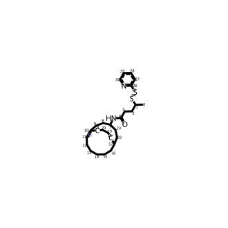 CC(CCC(=O)NC1CC/C2=C/CCCCCC(CCCC2)CC1)SSc1ccccn1